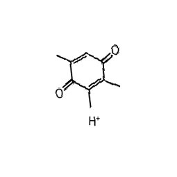 CC1=CC(=O)C(C)=C(C)C1=O.[H+]